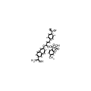 Cc1ccc(S(=O)(=O)S(=O)(=O)O)cc1.N=C(N)c1ccc2cc(OC(=O)C=Cc3ccc([N+](=O)[O-])cc3)ccc2c1